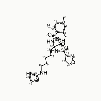 Cc1cc(C)c(S(=O)(=O)NC(CCCCCNc2ncc[nH]2)(NC(=O)C2=NOCC2)C(=O)O)c(C)c1